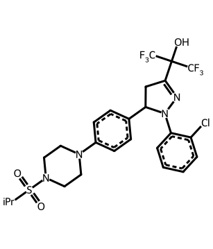 CC(C)S(=O)(=O)N1CCN(c2ccc(C3CC(C(O)(C(F)(F)F)C(F)(F)F)=NN3c3ccccc3Cl)cc2)CC1